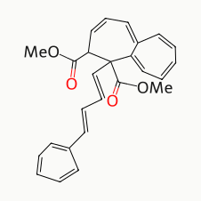 COC(=O)C1C=CC=C2C=CC=CC=C2C1(C=CC=Cc1ccccc1)C(=O)OC